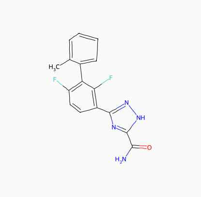 Cc1ccccc1-c1c(F)ccc(-c2n[nH]c(C(N)=O)n2)c1F